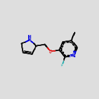 Cc1cnc(F)c(OCC2C=CCN2)c1